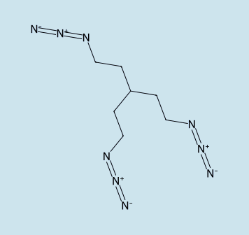 [N-]=[N+]=NCCC(CCN=[N+]=[N-])CCN=[N+]=[N-]